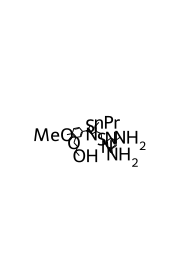 CCCc1sc(-c2ccc(OC)c(OCCO)c2)nc1CSc1nc(N)cc(N)n1